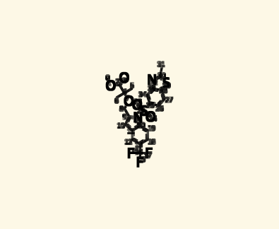 COC(=O)C(C)(C)OCc1cc2cc(C(F)(F)F)ccc2n1S(=O)(=O)c1ccc2sc(C)nc2c1